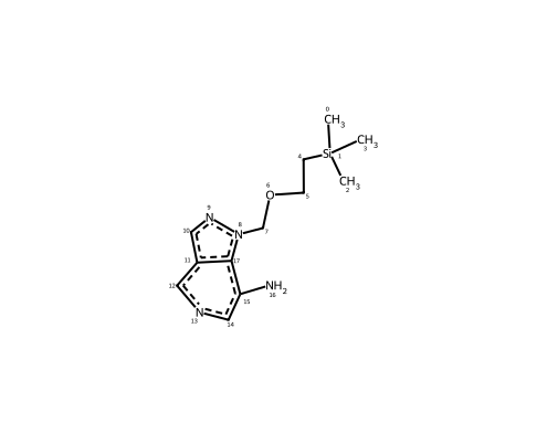 C[Si](C)(C)CCOCn1ncc2cncc(N)c21